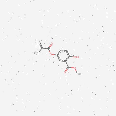 C=C(C)C(=O)Oc1ccc(O)c(C(=O)OC(C)CC)c1